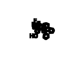 COC(OC)(OC(c1ccccc1)(c1ccccc1)c1ccccc1)C1CC(O)CN1S(=O)(=O)C(F)(F)F